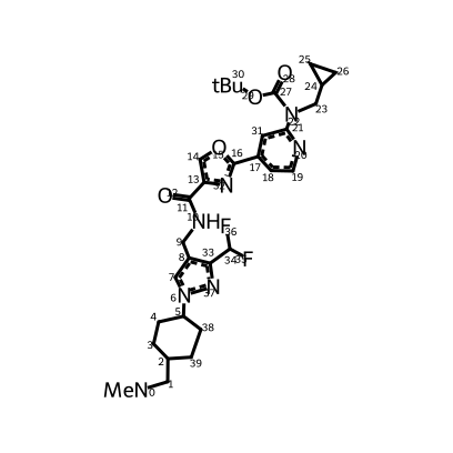 CNCC1CCC(n2cc(CNC(=O)c3coc(-c4ccnc(N(CC5CC5)C(=O)OC(C)(C)C)c4)n3)c(C(F)F)n2)CC1